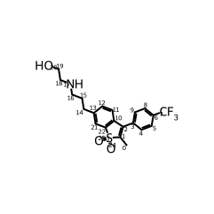 CC1=C(c2ccc(C(F)(F)F)cc2)c2ccc(CCCNCCO)cc2S1(=O)=O